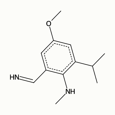 CNc1c(C=N)cc(OC)cc1C(C)C